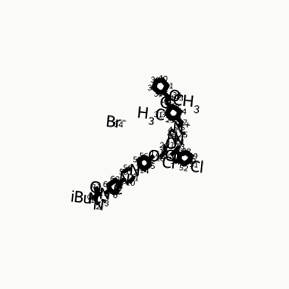 CCC(C)n1ncn(-c2ccc(N3CCN(c4ccc(OCC5COC(Cn6c[n+](Cc7cc(C)c(OC(=O)c8ccccc8)c(C)c7)cn6)(c6ccc(Cl)cc6Cl)O5)cc4)CC3)cc2)c1=O.[Br-]